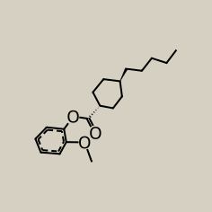 CCCCC[C@H]1CC[C@H](C(=O)Oc2ccccc2OC)CC1